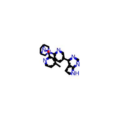 Cc1ccnc(CN2C3CC2CN(c2ccc(-c4ncnc5[nH]ccc45)cn2)C3)c1